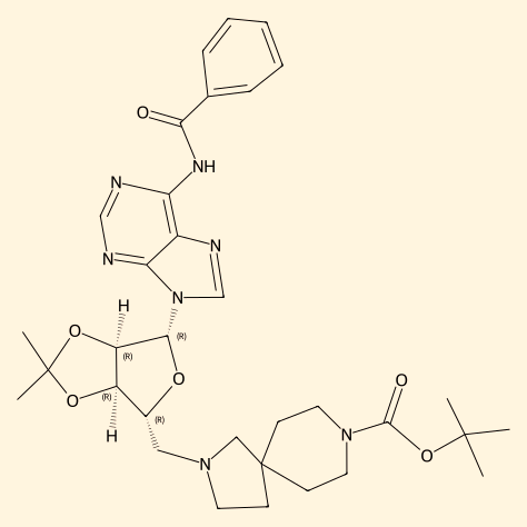 CC(C)(C)OC(=O)N1CCC2(CCN(C[C@H]3O[C@@H](n4cnc5c(NC(=O)c6ccccc6)ncnc54)[C@@H]4OC(C)(C)O[C@@H]43)C2)CC1